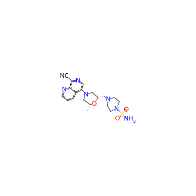 C[C@@H]1CN(c2cnc(C#N)c3ncccc23)C[C@H](CN2CCN(S(N)(=O)=O)CC2)O1